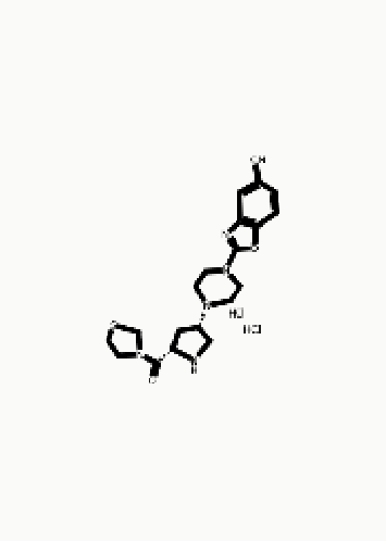 Cl.Cl.N#Cc1ccc2oc(N3CCN([C@@H]4CN[C@H](C(=O)N5CCSC5)C4)CC3)nc2c1